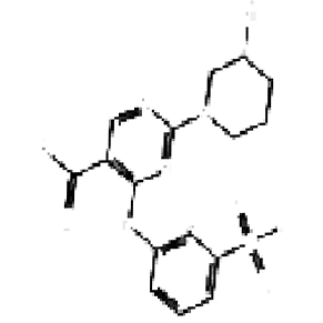 CS(=N)(=O)c1cccc(Nc2nc(N3CCC[C@H](N)C3)ncc2C(N)=O)c1